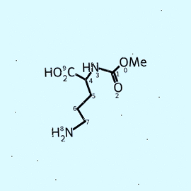 COC(=O)NC(CCCN)C(=O)O